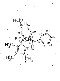 CCC1(C)C(C)=C(C)C(C)=[C]1[Ti][P](c1ccccc1)c1ccccc1.Cl.Cl